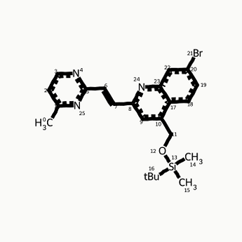 Cc1ccnc(C=Cc2cc(CO[Si](C)(C)C(C)(C)C)c3ccc(Br)cc3n2)n1